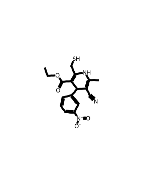 CCOC(=O)C1=C(CS)NC(C)=C(C#N)C1c1cccc([N+](=O)[O-])c1